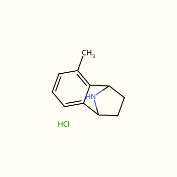 Cc1cccc2c1C1CCC2N1.Cl